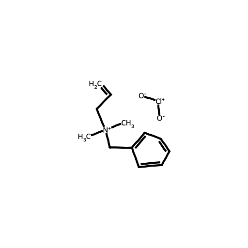 C=CC[N+](C)(C)Cc1ccccc1.[O-][Cl+][O-]